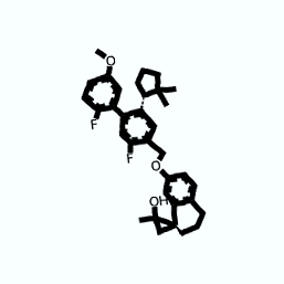 COc1ccc(F)c(-c2cc(F)c(COc3ccc4c(c3)[C@]3(CCC4)CC3(C)O)cc2[C@@H]2CCCC2(C)C)c1